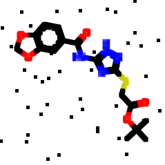 CC(C)(C)OC(=O)CSc1n[nH]c(NC(=O)c2ccc3c(c2)OCO3)n1